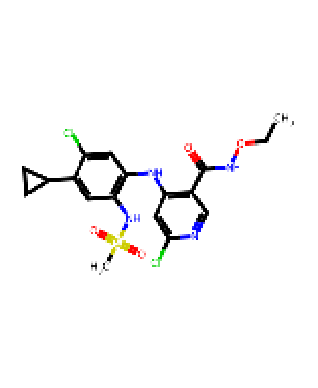 CCONC(=O)c1cnc(Cl)cc1Nc1cc(Cl)c(C2CC2)cc1NS(C)(=O)=O